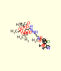 CCC(=O)OC[C@@H](OC(=O)CC)[C@@H](OC(=O)CC)[C@H](OC(=O)CC)[C@H](COC(C)=O)NC(=O)NCCCCN(C)S(=O)(=O)c1ccc(Cl)c(COC2(c3cnccc3-c3ccccc3OC3CC3)CC2)c1